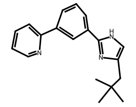 CC(C)(C)Cc1c[nH]c(-c2cccc(-c3ccccn3)c2)n1